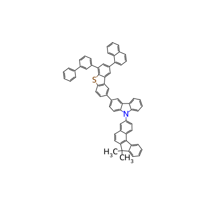 CC1(C)c2ccccc2-c2c1ccc1cc(-n3c4ccccc4c4cc(-c5ccc6sc7c(-c8cccc(-c9ccccc9)c8)cc(-c8cccc9ccccc89)cc7c6c5)ccc43)ccc21